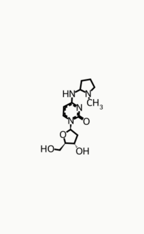 CN1CCCC1Nc1ccn([C@H]2C[C@H](O)[C@@H](CO)O2)c(=O)n1